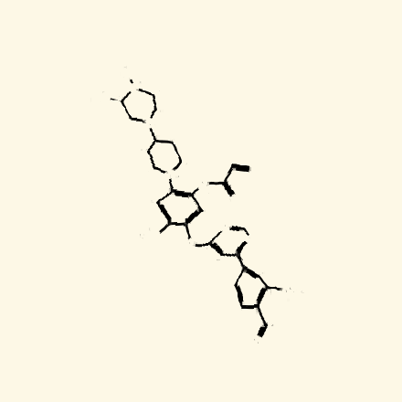 C=CC(=O)Nc1cc(Nc2cc(-c3ccc(C=N)c(NC)c3)ncn2)c(OC)cc1N1CCC(N2CCN(C)[C@H](C)C2)CC1